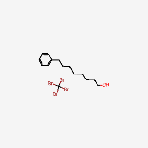 BrC(Br)(Br)Br.OCCCCCCCCc1ccccc1